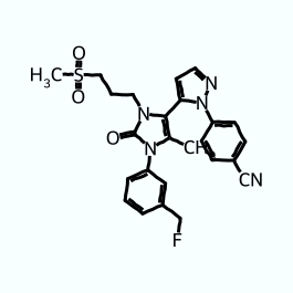 Cc1c(-c2ccnn2-c2ccc(C#N)cc2)n(CCCS(C)(=O)=O)c(=O)n1-c1cccc(CF)c1